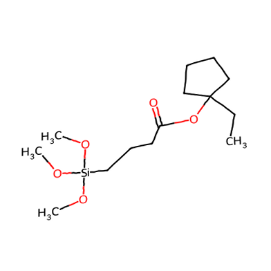 CCC1(OC(=O)CCC[Si](OC)(OC)OC)CCCC1